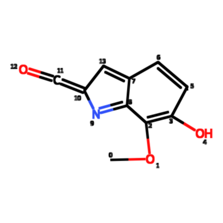 COc1c(O)[c]cc2c1=NC(=C=O)C=2